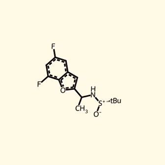 CC(N[S@@+]([O-])C(C)(C)C)c1cc2cc(F)cc(F)c2o1